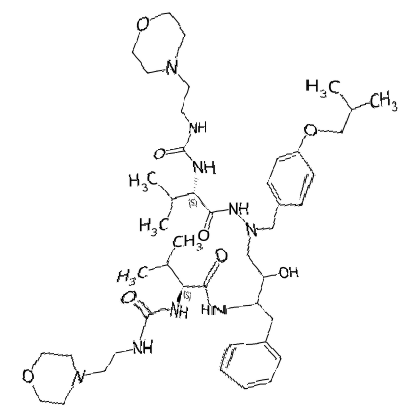 CC(C)COc1ccc(CN(CC(O)C(Cc2ccccc2)NC(=O)[C@@H](NC(=O)NCCN2CCOCC2)C(C)C)NC(=O)[C@@H](NC(=O)NCCN2CCOCC2)C(C)C)cc1